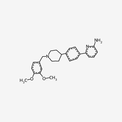 COc1ccc(CN2CCC(c3ccc(-c4cccc(N)n4)cc3)CC2)cc1OC